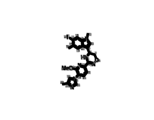 COc1nc(C2=NOCC(c3cn(C)c4cc(F)c(C)cc34)N2)ccc1-n1cnc(C)c1